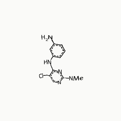 CNc1ncc(Cl)c(Nc2cccc(N)c2)n1